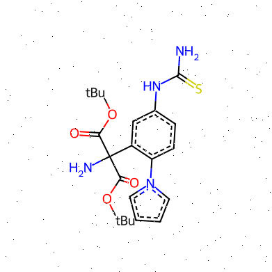 CC(C)(C)OC(=O)C(N)(C(=O)OC(C)(C)C)c1cc(NC(N)=S)ccc1-n1cccc1